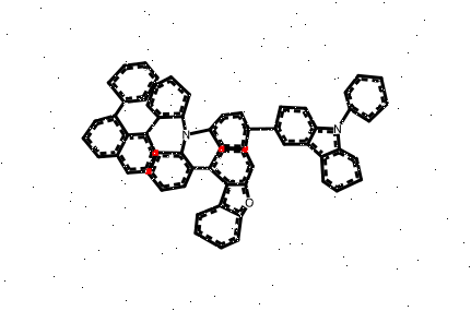 c1ccc(-c2cccc3cccc(-c4ccccc4N(c4ccc(-c5ccc6c(c5)c5ccccc5n6-c5ccccc5)cc4)c4ccccc4-c4cccc5oc6ccccc6c45)c23)cc1